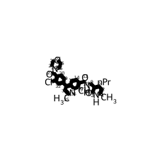 CCCc1cc(C)[nH]c(=O)c1CNC(=O)c1ccc2c(-c3ccc(C(=O)N4CCOCC4)c(Cl)c3)cc(C)nc2c1C